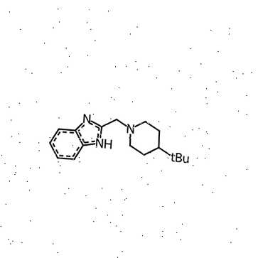 CC(C)(C)C1CCN(Cc2nc3ccccc3[nH]2)CC1